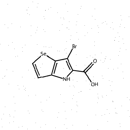 O=C(O)c1[nH]c2cc[se]c2c1Br